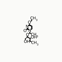 CCOc1ccn(C(C)O[C@H](CO)C(O)CC)c(=O)n1